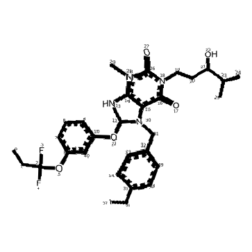 CCC(F)(F)Oc1cccc(OC2Nc3c(c(=O)n(CCC(O)C(C)C)c(=O)n3C)N2Cc2ccc(CI)cc2)c1